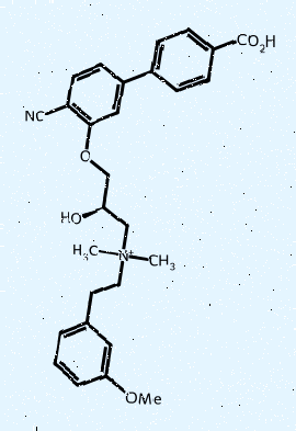 COc1cccc(CC[N+](C)(C)C[C@@H](O)COc2cc(-c3ccc(C(=O)O)cc3)ccc2C#N)c1